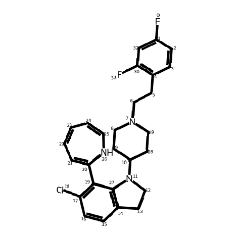 Fc1ccc(CCN2CCC(N3CCc4ccc(Cl)c(C5=CC=CC=CN5)c43)CC2)c(F)c1